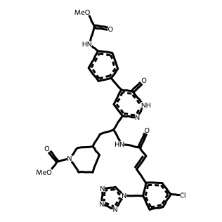 COC(=O)Nc1ccc(-c2cc(C(CC3CCCN(C(=O)OC)C3)NC(=O)/C=C/c3cc(Cl)ccc3-n3cnnn3)n[nH]c2=O)cc1